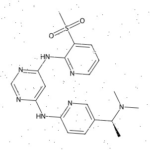 C[C@@H](c1ccc(Nc2cc(Nc3ncccc3S(C)(=O)=O)ncn2)nc1)N(C)C